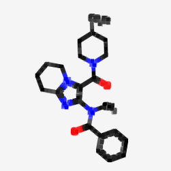 CCOC(=O)C1CCN(C(=O)c2c(N(C)C(=O)c3ccccc3)nc3n2CCCC3)CC1